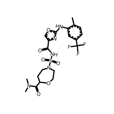 Cc1ccc(C(F)(F)F)cc1Nc1nc(C(=O)NS(=O)(=O)N2CCOC(C(=O)N(C)C)CC2)co1